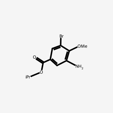 COc1c(N)cc(C(=O)OC(C)C)cc1Br